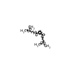 C=COC(CCCOC(=O)c1cccc(C(=O)OCCCC(OC=C)OC=C)c1)OC=C